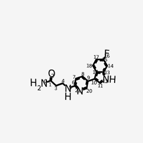 NC(=O)CCNc1ccc(-c2c[nH]c3cc(F)ccc23)cn1